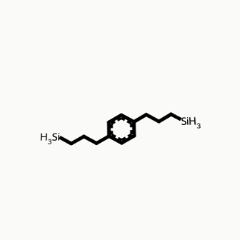 [SiH3]CCCc1ccc(CCC[SiH3])cc1